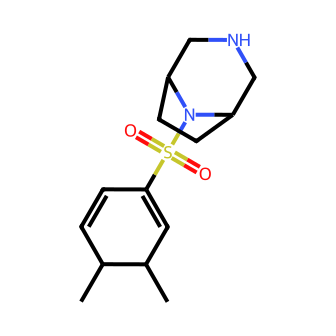 CC1C=CC(S(=O)(=O)N2C3CCC2CNC3)=CC1C